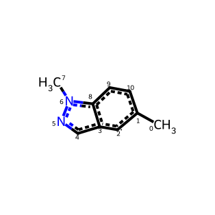 Cc1[c]c2cnn(C)c2cc1